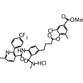 COC(=O)c1cc(C)c(OC(=O)CCCc2ccc(NC(=O)c3ccc(C)nc3-c3ccc(C(F)(F)F)cc3)c(C(=O)N(C)C)c2)c(Cl)c1.Cl